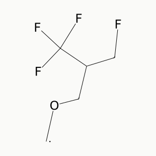 [CH2]OCC(CF)C(F)(F)F